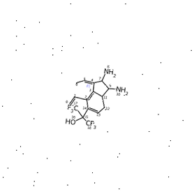 C=CC1=C2/C(=C\C)C(N)C(N)C2CC=C1C(O)(C(F)(F)F)C(F)(F)F